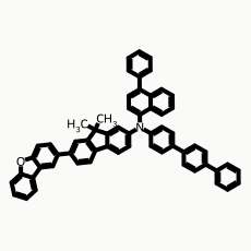 CC1(C)c2cc(-c3ccc4oc5ccccc5c4c3)ccc2-c2ccc(N(c3ccc(-c4ccc(-c5ccccc5)cc4)cc3)c3ccc(-c4ccccc4)c4ccccc34)cc21